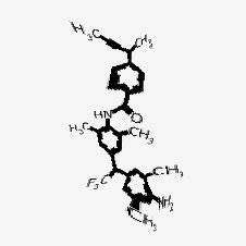 CC#CC(C)c1ccc(C(=O)Nc2c(C)cc(C(c3cc(C)c(N)c(C)c3)C(F)(F)F)cc2C)cc1